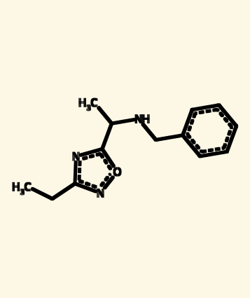 CCc1noc(C(C)NCc2ccccc2)n1